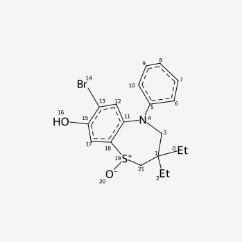 CCC1(CC)CN(c2ccccc2)c2cc(Br)c(O)cc2[S+]([O-])C1